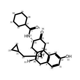 O=C(N[C@H]1C[C@@]2(O)[C@H]3Cc4ccc(O)cc4[C@@]2(CCN3CC2CC2)CC1=O)C1CCCCC1